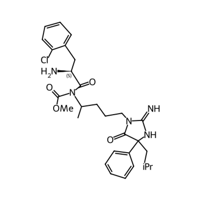 COC(=O)N(C(=O)[C@@H](N)Cc1ccccc1Cl)C(C)CCCN1C(=N)NC(CC(C)C)(c2ccccc2)C1=O